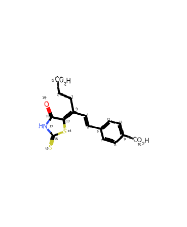 O=C(O)CCC(C=Cc1ccc(C(=O)O)cc1)=C1SC(=S)NC1=O